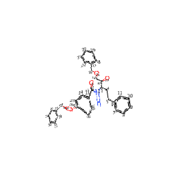 O=C(NC(CCc1ccccc1)C(=O)COCc1ccccc1)c1ccc(OCc2ccccc2)cc1